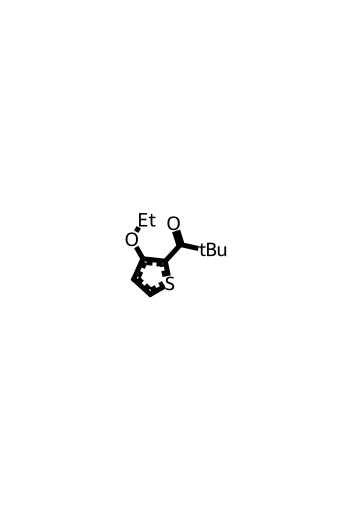 CCOc1ccsc1C(=O)C(C)(C)C